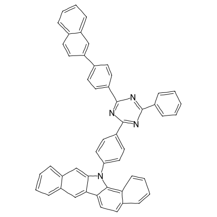 c1ccc(-c2nc(-c3ccc(-c4ccc5ccccc5c4)cc3)nc(-c3ccc(-n4c5cc6ccccc6cc5c5ccc6ccccc6c54)cc3)n2)cc1